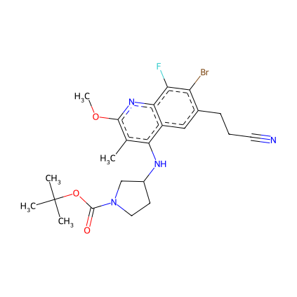 COc1nc2c(F)c(Br)c(CCC#N)cc2c(NC2CCN(C(=O)OC(C)(C)C)C2)c1C